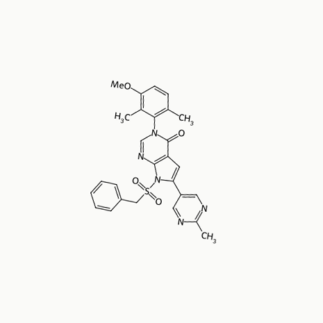 COc1ccc(C)c(-n2cnc3c(cc(-c4cnc(C)nc4)n3S(=O)(=O)Cc3ccccc3)c2=O)c1C